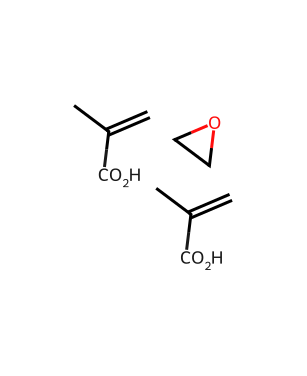 C1CO1.C=C(C)C(=O)O.C=C(C)C(=O)O